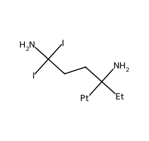 CC[C](N)([Pt])CCC(N)(I)I